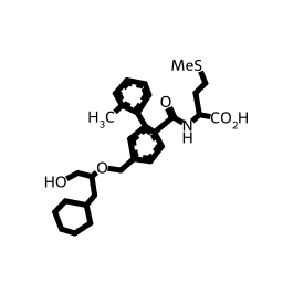 CSCCC(NC(=O)c1ccc(COC(CO)CC2CCCCC2)cc1-c1ccccc1C)C(=O)O